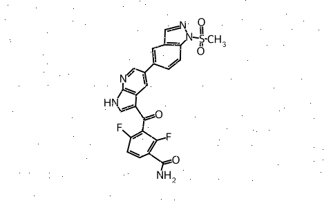 CS(=O)(=O)n1ncc2cc(-c3cnc4[nH]cc(C(=O)c5c(F)ccc(C(N)=O)c5F)c4c3)ccc21